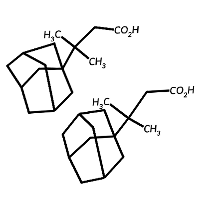 CC(C)(CC(=O)O)C12CC3CC(CC(C3)C1)C2.CC(C)(CC(=O)O)C12CC3CC(CC(C3)C1)C2